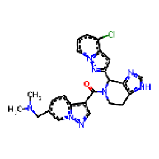 CN(C)Cc1ccc2c(C(=O)N3CCc4[nH]cnc4C3c3cc4c(Cl)cccn4n3)cnn2c1